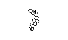 CC1(C)c2cc3ccc4cc5c(c6ccc(c2-c2cc7ccccc7nc21)c3c46)C(C)(C)c1ncccc1-5